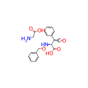 NCC(=O)O.O=C=C(c1ccccc1)[C@H](NOCc1ccccc1)C(=O)O